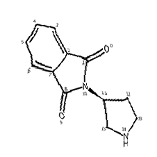 O=C1c2ccccc2C(=O)N1[C@H]1CCNC1